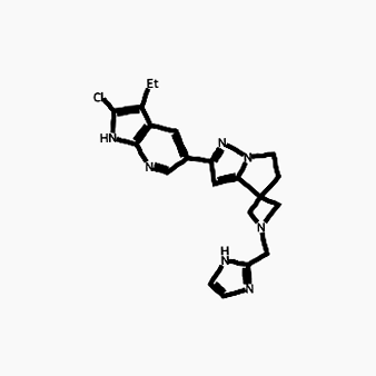 CCc1c(Cl)[nH]c2ncc(-c3cc4n(n3)CCC43CN(Cc4ncc[nH]4)C3)cc12